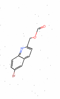 O=COCc1ccc2cc(Br)ccc2n1